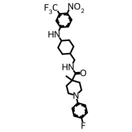 CC1(C(=O)NCC2CCC(Nc3ccc([N+](=O)[O-])c(C(F)(F)F)c3)CC2)CCN(c2ccc(F)cc2)CC1